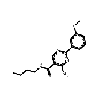 CCCCNC(=O)c1cnc(-c2cccc(OC)c2)nc1N